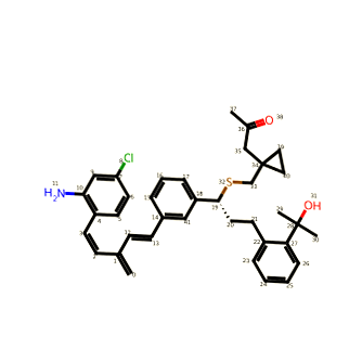 C=C(/C=C\c1ccc(Cl)cc1N)/C=C/c1cccc([C@@H](CCc2ccccc2C(C)(C)O)SCC2(CC(C)=O)CC2)c1